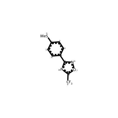 CSc1ccc(-c2noc(C(F)(F)F)n2)cc1